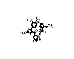 CCn1nc(C)cc1C(=O)NC[C@@H]1[C@H]2C[C@H]2CN1C(=O)c1nc(C)sc1-c1ccc(C)c(C)c1